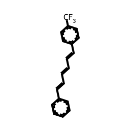 FC(F)(F)c1ccc(C=CC=CC=Cc2ccccc2)cc1